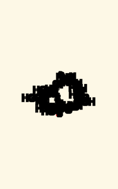 CC(C)C[C@@H]1NC(=O)[C@H](Cc2cnc[nH]2)NC(=O)[C@H](Cc2c[nH]c3ccccc23)NC(=O)[C@H](C)NC(=O)[C@@H]2CSSC[C@H](NC(=O)[C@H](Cc3c[nH]c4ccccc34)NC(=O)[C@H](C(C)C)NC(=O)[C@H](CC(C)C)NC(=O)[C@H](CCC(=O)O)NC(=O)CNC1=O)C(=O)N[C@@H]([C@@H](C)O)C(O)N1CCC[C@@H]1C(=O)N1C[C@@H](NC(=O)CCO)C[C@H]1C(=O)N[C@@H](CC(=O)O)C(=O)N2